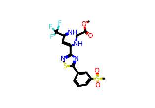 COC(=O)CN/C(=C\C(=N)C(F)(F)F)c1nsc(-c2cccc(S(C)(=O)=O)c2)n1